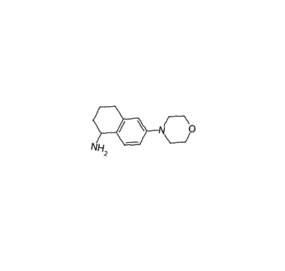 NC1CCCc2cc(N3CCOCC3)ccc21